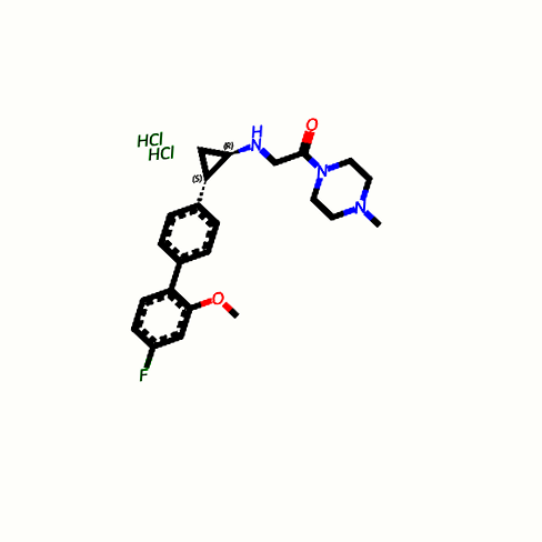 COc1cc(F)ccc1-c1ccc([C@@H]2C[C@H]2NCC(=O)N2CCN(C)CC2)cc1.Cl.Cl